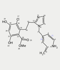 C=C/C=C(\C=C/N)Cn1ccnc1CCc1c(Cl)c(O)cc(O)c1C(=O)OC